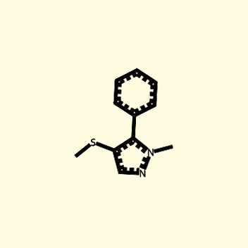 CSc1cnn(C)c1-c1ccccc1